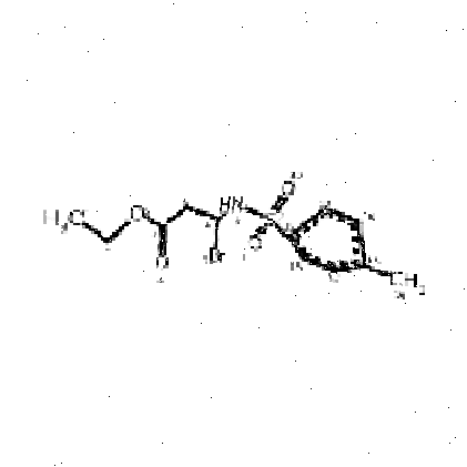 CCOC(=O)CC(Br)NS(=O)(=O)c1ccc(C)cc1